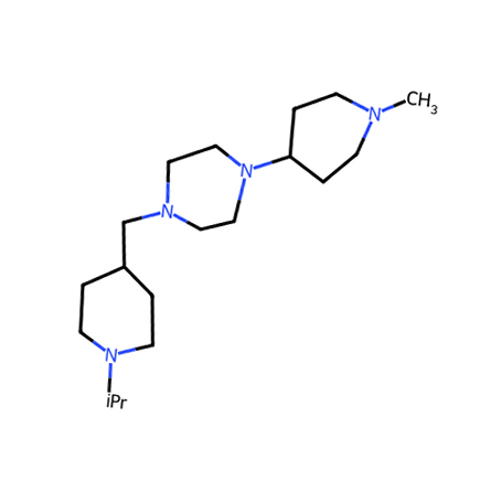 CC(C)N1CCC(CN2CCN(C3CCN(C)CC3)CC2)CC1